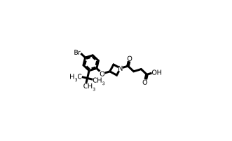 CC(C)(C)c1cc(Br)ccc1OC1CN(C(=O)CCC(=O)O)C1